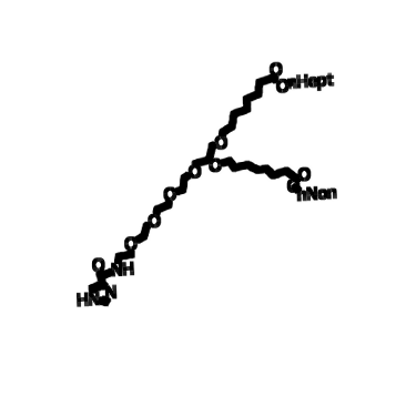 CCCCCCCCCOC(=O)CCCCCCCOC(COCCCCCCCC(=O)OCCCCCCC)COCCOCCOCCOCCNC(=O)c1c[nH]cn1